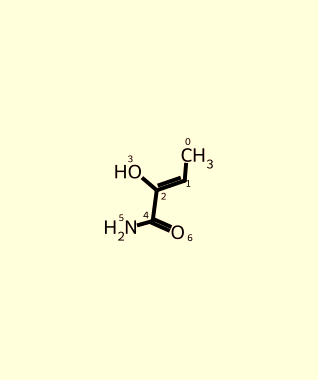 CC=C(O)C(N)=O